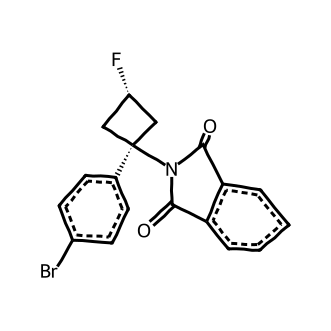 O=C1c2ccccc2C(=O)N1[C@]1(c2ccc(Br)cc2)C[C@@H](F)C1